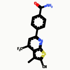 Cc1c(C#N)sc2nc(-c3ccc(C(N)=O)cc3)cc(C(F)(F)F)c12